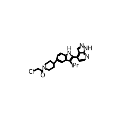 CC(C)c1c(-c2ccnc3[nH]ncc23)[nH]c2ccc(C3CCN(C(=O)CCl)CC3)cc12